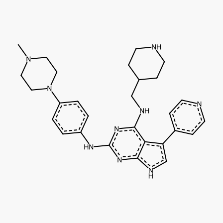 CN1CCN(c2ccc(Nc3nc(NCC4CCNCC4)c4c(-c5ccncc5)c[nH]c4n3)cc2)CC1